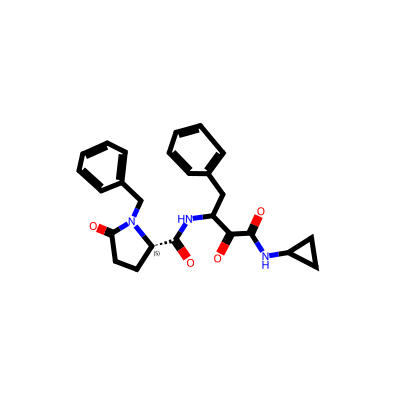 O=C(NC1CC1)C(=O)C(Cc1ccccc1)NC(=O)[C@@H]1CCC(=O)N1Cc1ccccc1